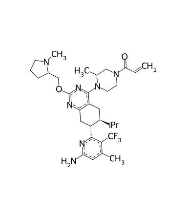 C=CC(=O)N1CCN(c2nc(OCC3CCCN3C)nc3c2C[C@@H](C(C)C)[C@H](c2nc(N)cc(C)c2C(F)(F)F)C3)C(C)C1